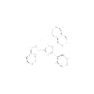 Cc1[nH]c2ccccc2c1-c1nc(-c2cccc3ccccc23)c(-c2ccccc2)[nH]1